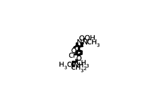 CCN(C(=O)O)c1cc2c(cn1)COc1c-2ccc(OC[C@@](C)(N)CC(C)C)c1Cl